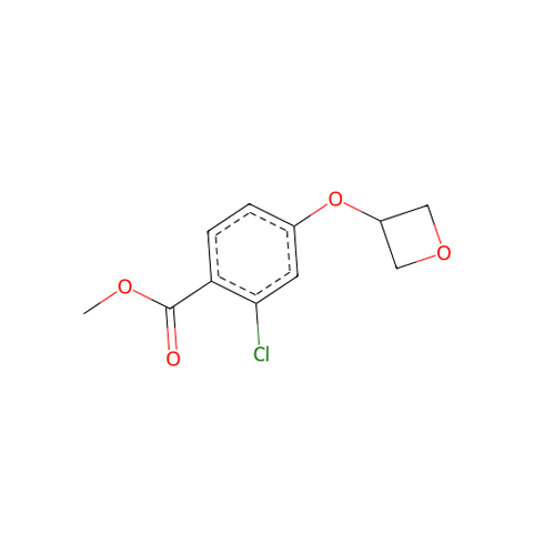 COC(=O)c1ccc(OC2COC2)cc1Cl